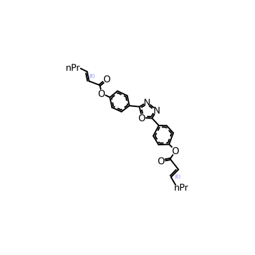 CCC/C=C/C(=O)Oc1ccc(-c2nnc(-c3ccc(OC(=O)/C=C/CCC)cc3)o2)cc1